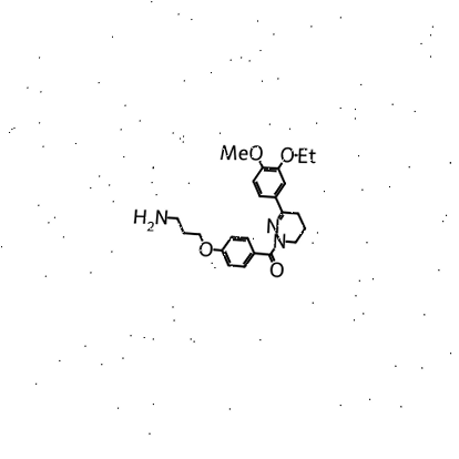 CCOc1cc(C2=NN(C(=O)c3ccc(OCCCN)cc3)CCC2)ccc1OC